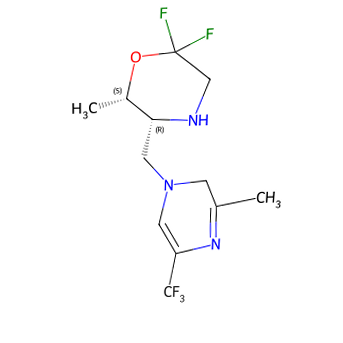 CC1=NC(C(F)(F)F)=CN(C[C@H]2NCC(F)(F)O[C@H]2C)C1